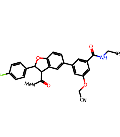 CNC(=O)C1c2cc(-c3cc(OCC#N)cc(C(=O)NCC(C)C)c3)ccc2OC1c1ccc(F)cc1